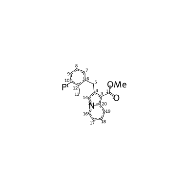 COC(=O)c1c(Cc2cccc(F)c2C)cn2ccccc12